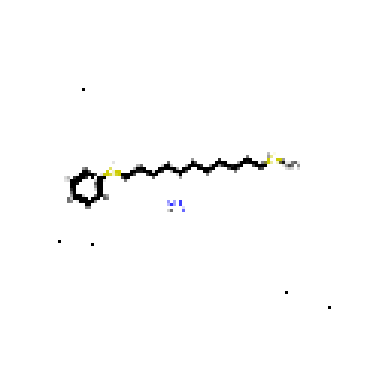 N.[CH2]CCSCCCCCCCCCCCSc1ccccc1